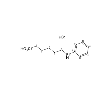 Br.O=C(O)CCCCCPc1ccccc1